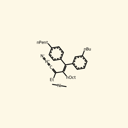 CCCCCCCCC(C(=C=[N+]=[N-])CC)=C(c1ccc(CCCCC)cc1)c1cccc(CCCC)c1.[CH3][Ni][CH3]